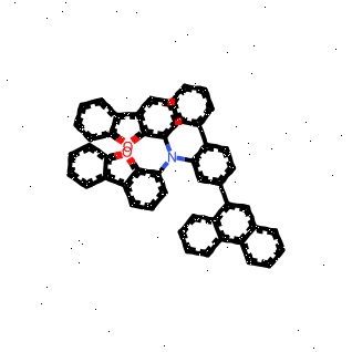 c1ccc(-c2ccc(-c3cc4ccccc4c4ccccc34)cc2N(c2cccc3c2oc2ccccc23)c2cccc3c2oc2ccccc23)cc1